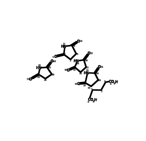 O=C(O)CCCC(=O)O.O=C1CCC(=O)N1.O=C1CCC(=O)N1.O=C1CCC(=O)N1.O=C1CCC(=O)N1